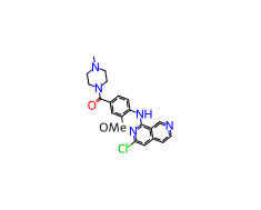 COc1cc(C(=O)N2CCN(C)CC2)ccc1Nc1nc(Cl)cc2ccncc12